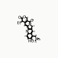 CCC1C(=O)OCc2c1cc1n(c2=O)Cc2cc3c(CN(C)C)c(O)ccc3nc2-1